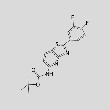 CC(C)(C)OC(=O)Nc1ccc2sc(-c3ccc(F)c(F)c3)nc2n1